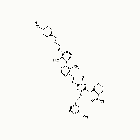 Cc1c(COc2cc(OCc3cncc(C#N)c3)c(CN3CCCC[C@H]3C(=O)O)cc2Cl)cccc1-c1cccc(OCCCN2CCC(C#N)CC2)c1C